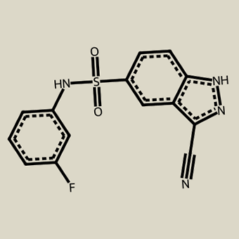 N#Cc1n[nH]c2ccc(S(=O)(=O)Nc3cccc(F)c3)cc12